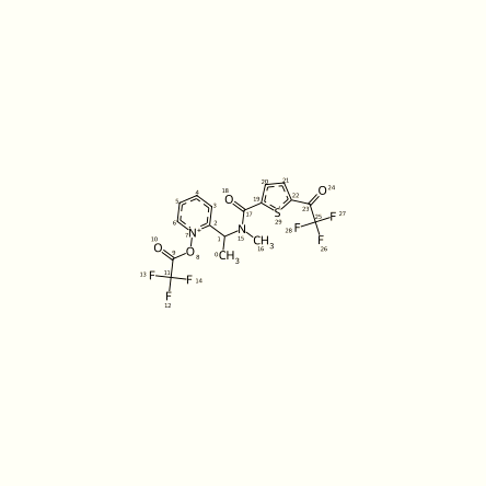 CC(c1cccc[n+]1OC(=O)C(F)(F)F)N(C)C(=O)c1ccc(C(=O)C(F)(F)F)s1